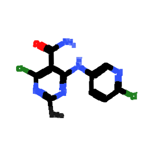 CSc1nc(Cl)c(C(N)=O)c(Nc2ccc(Cl)nc2)n1